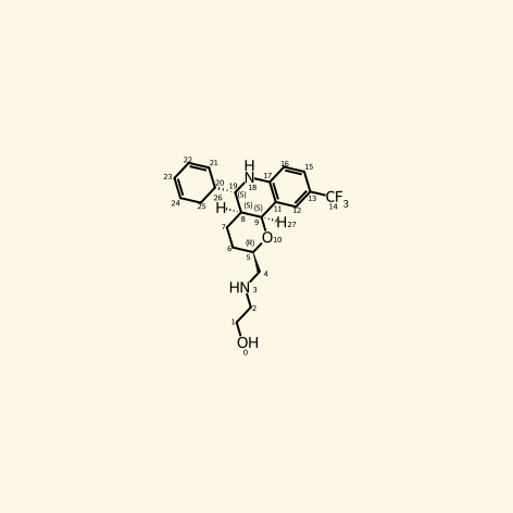 OCCNC[C@H]1CC[C@@H]2[C@H](O1)c1cc(C(F)(F)F)ccc1N[C@H]2C1C=CC=CC1